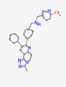 COc1ccc(CNCc2ccc(-c3nc4ccn5c(C)nnc5c4cc3-c3ccccc3)cc2)cn1